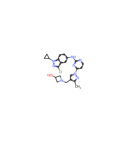 Cc1nn(-c2ccnc(Nc3ccc4c(c3)c(Cl)nn4C3CC3)n2)cc1CN1CC(O)C1